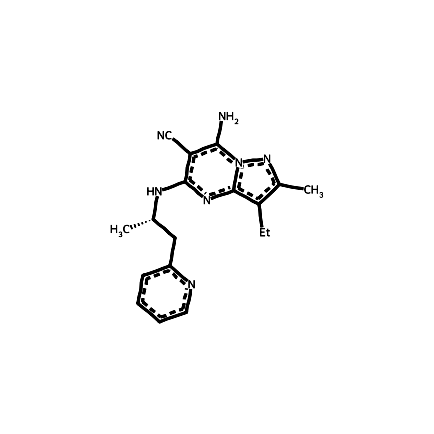 CCc1c(C)nn2c(N)c(C#N)c(N[C@@H](C)Cc3ccccn3)nc12